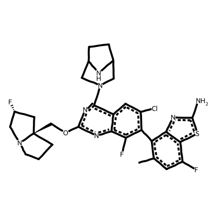 Cc1cc(F)c2sc(N)nc2c1-c1c(Cl)cc2c(N3CC4CCC(C3)N4)nc(OC[C@@]34CCCN3C[C@H](F)C4)nc2c1F